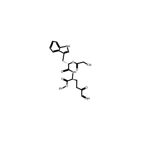 CC(C)OC(=O)[C@H](CCC(=O)C=N)NC(=O)[C@H](Cc1c[nH]c2ccccc12)OC(=O)CC#N